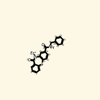 CCN1C(=O)c2ccccc2Sc2ccc(C(=O)NCc3ccccc3)cc21